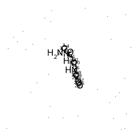 Nc1ccccc1NC(=O)C=Cc1ccc(CNc2ccc(N3CCOCC3)cc2)cc1